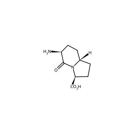 N[C@H]1CC[C@@H]2CC[C@@H](C(=O)O)N2C1=O